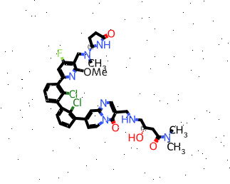 COc1nc(-c2cccc(-c3cccc(-c4ccn5c(=O)c(CNC[C@@H](O)CC(=O)N(C)C)cnc5c4)c3Cl)c2Cl)cc(F)c1CN(C)[C@H]1CCC(=O)N1